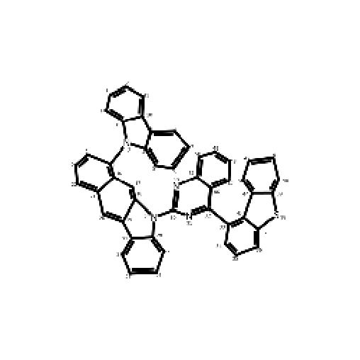 c1cc(-n2c3ccccc3c3ccccc32)c2cc3c(cc2c1)c1ccccc1n3-c1nc(-c2cccc3sc4ccccc4c23)c2ccccc2n1